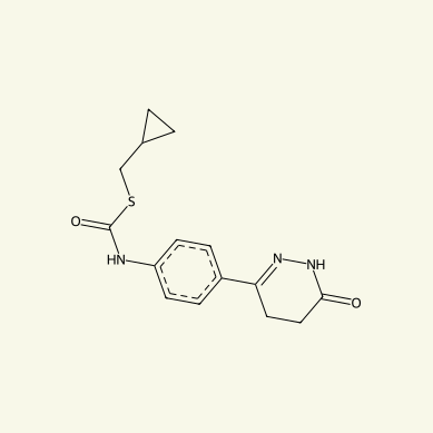 O=C1CCC(c2ccc(NC(=O)SCC3CC3)cc2)=NN1